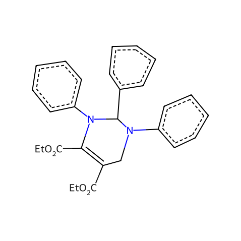 CCOC(=O)C1=C(C(=O)OCC)N(c2ccccc2)C(c2ccccc2)N(c2ccccc2)C1